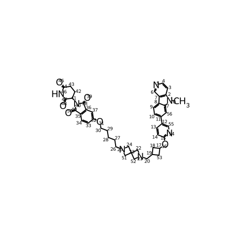 Cn1c2ccncc2c2ccc(-c3ccc(OC4CC(CN5CC6(CN(CCCCCOc7ccc8c(c7)C(=O)N(C7CCC(=O)NC7=O)C8=O)C6)C5)C4)nc3)cc21